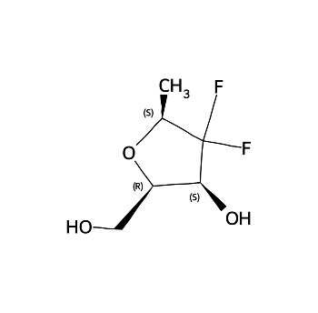 C[C@@H]1O[C@H](CO)[C@H](O)C1(F)F